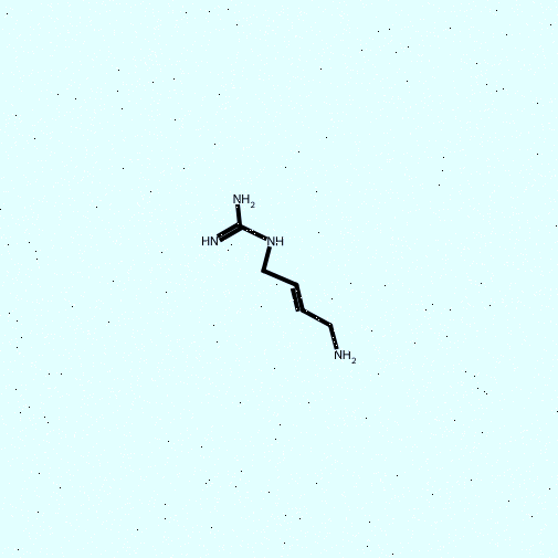 N=C(N)NCC=CCN